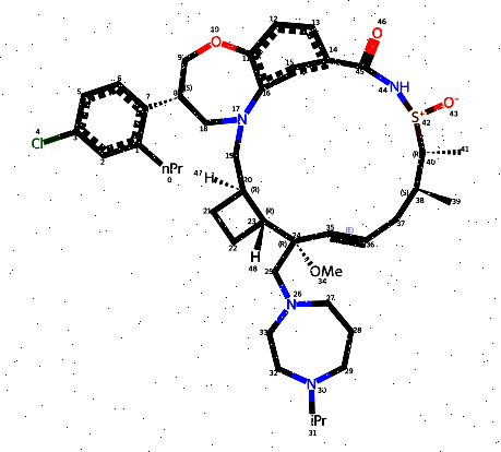 CCCc1cc(Cl)ccc1[C@@H]1COc2ccc3cc2N(C1)C[C@@H]1CC[C@H]1[C@@](CN1CCCN(C(C)C)CC1)(OC)/C=C/C[C@H](C)[C@@H](C)[S+]([O-])NC3=O